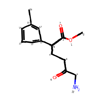 COC(=O)C(CCC(=O)CN)c1cccc(C)c1